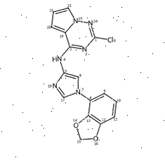 Clc1nc(Nc2cn(-c3cccc4c3OCO4)cn2)c2cccn2n1